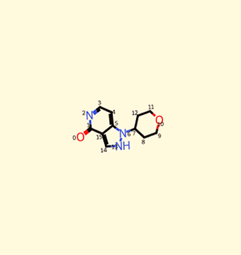 O=c1nccc2n(C3CCOCC3)[nH]cc1-2